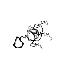 CN(C)CC(C)(C)CC(C)(C)CN(C)Cc1ccccc1